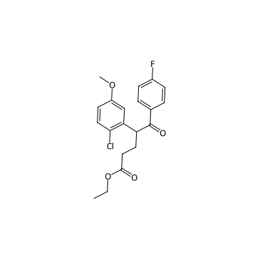 CCOC(=O)CCC(C(=O)c1ccc(F)cc1)c1cc(OC)ccc1Cl